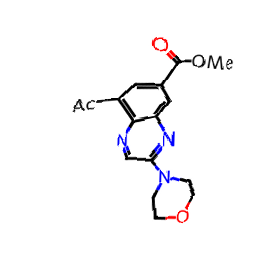 COC(=O)c1cc(C(C)=O)c2ncc(N3CCOCC3)nc2c1